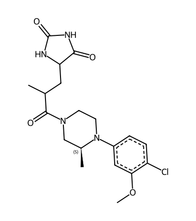 COc1cc(N2CCN(C(=O)C(C)CC3NC(=O)NC3=O)C[C@@H]2C)ccc1Cl